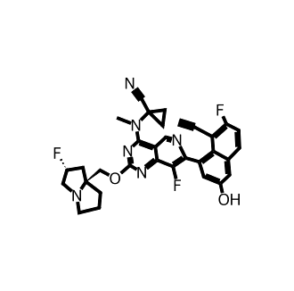 C#Cc1c(F)ccc2cc(O)cc(-c3ncc4c(N(C)C5(C#N)CC5)nc(OC[C@@]56CCCN5C[C@H](F)C6)nc4c3F)c12